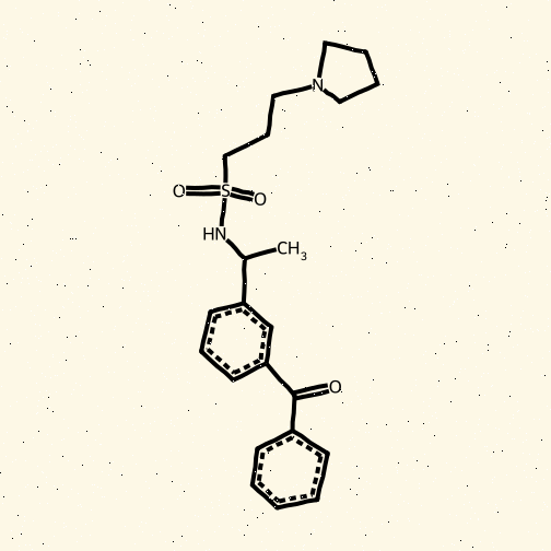 CC(NS(=O)(=O)CCCN1CCCC1)c1cccc(C(=O)c2ccccc2)c1